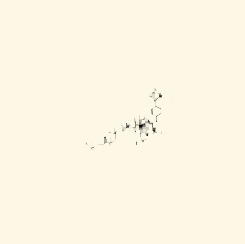 Cc1ncsc1-c1ccc(CNC(=O)[C@@H]2C[C@@H](O)CN2C(=O)C(NC(=O)COC2CCN(CCCN)CC2)C(C)(C)C)cc1